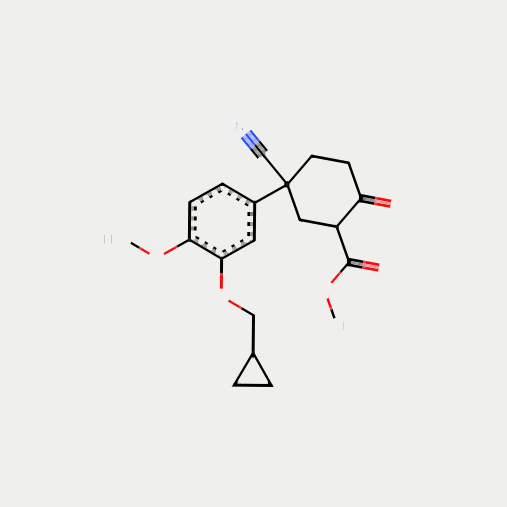 COC(=O)C1CC(C#N)(c2ccc(OC)c(OCC3CC3)c2)CCC1=O